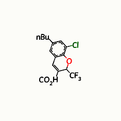 CCCCc1cc(Cl)c2c(c1)C=C(C(=O)O)C(C(F)(F)F)O2